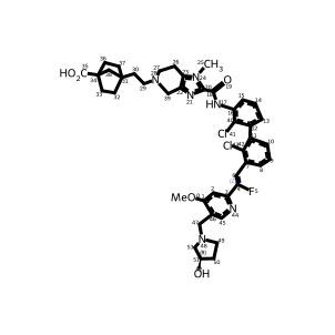 COc1cc(/C(F)=C/c2cccc(-c3cccc(NC(=O)c4nc5c(n4C)CCN(CCC46CCC(C(=O)O)(CC4)C6)C5)c3Cl)c2Cl)ncc1CN1CC[C@@H](O)C1